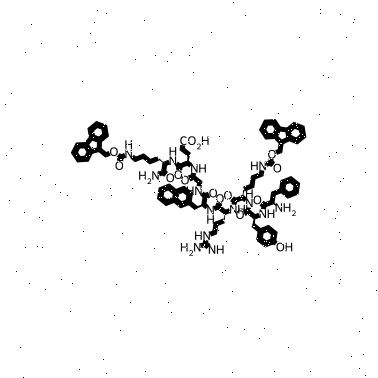 N=C(N)NCCC[C@@H](NC(=O)[C@H](CCCCNC(=O)OCC1c2ccccc2-c2ccccc21)NC(=O)[C@H](Cc1ccc(O)cc1)NC(=O)[C@@H](N)Cc1ccccc1)C(=O)N[C@@H](Cc1ccc2ccccc2c1)C(=O)NCC(=O)N[C@H](CCC(=O)O)C(=O)N[C@@H](CCCCNC(=O)OCC1c2ccccc2-c2ccccc21)C(N)=O